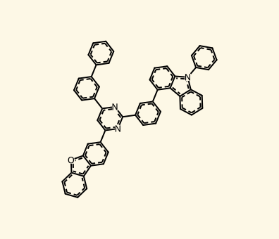 c1ccc(-c2cccc(-c3cc(-c4ccc5c(c4)oc4ccccc45)nc(-c4cccc(-c5cccc6c5c5ccccc5n6-c5ccccc5)c4)n3)c2)cc1